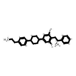 CCCc1ccc(C2CCC(c3cc(F)c(C[C@@H](C)c4ccccc4)c(F)c3)CC2)cc1